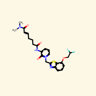 CN(C)C(=O)/C=C/CCCC(=O)Nc1cccn(Cc2nc3cccc(OCC(F)F)c3s2)c1=O